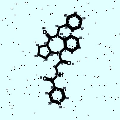 O=C(NCC(=O)N1c2ccccc2N(Cc2ccccc2)C(=O)C2CCCC21)c1ccncc1